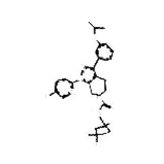 CC1(NC(=O)[C@@H]2CCc3c(-c4cccc(OC(F)F)c4)nn(-c4ccc(F)cn4)c3C2)CC(F)(F)C1